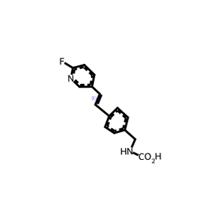 O=C(O)NCc1ccc(/C=C/c2ccc(F)nc2)cc1